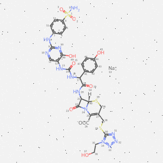 NS(=O)(=O)c1ccc(Nc2ncc(NC(=O)NC(C(=O)NC3C(=O)N4C(C(=O)[O-])=C(CSc5nnnn5CCO)CS[C@@H]34)c3ccc(O)cc3)c(O)n2)cc1.[Na+]